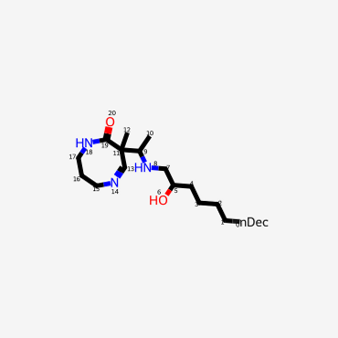 CCCCCCCCCCCCCCC(O)CNC(C)C1(C)C=NCCCNC1=O